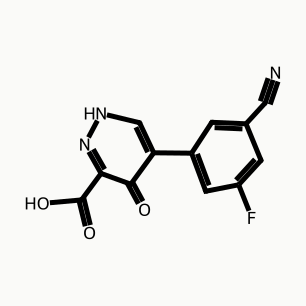 N#Cc1cc(F)cc(-c2c[nH]nc(C(=O)O)c2=O)c1